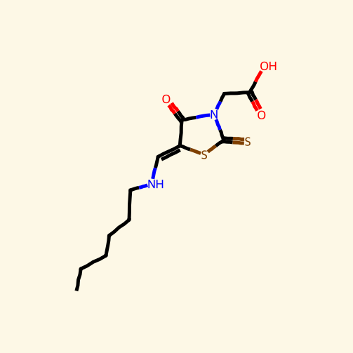 CCCCCCNC=C1SC(=S)N(CC(=O)O)C1=O